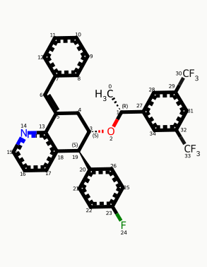 C[C@@H](O[C@H]1CC(=Cc2ccccc2)c2ncccc2[C@@H]1c1ccc(F)cc1)c1cc(C(F)(F)F)cc(C(F)(F)F)c1